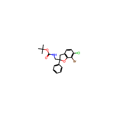 CC(C)(C)OC(=O)NCC1(c2ccccc2)Cc2ccc(Cl)c(Br)c2O1